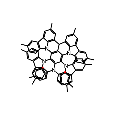 Cc1ccc(N(c2ccc(C)cc2)c2c(-n3c4ccc(C)cc4c4cc(C)ccc43)c3c4c(c2-n2c5ccc(C)cc5c5cc(C)ccc52)-n2c5ccc(C)cc5c5cc(C)cc(c52)C4c2cc(C)cc4c5cc(C)ccc5n-3c24)cc1